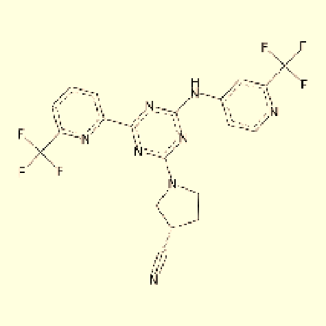 N#C[C@H]1CCN(c2nc(Nc3ccnc(C(F)(F)F)c3)nc(-c3cccc(C(F)(F)F)n3)n2)C1